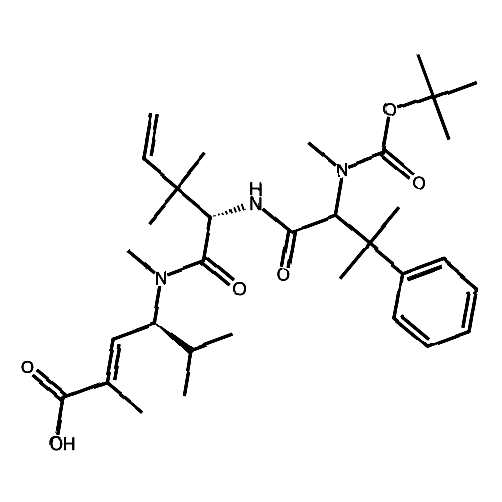 C=CC(C)(C)[C@H](NC(=O)C(N(C)C(=O)OC(C)(C)C)C(C)(C)c1ccccc1)C(=O)N(C)[C@H](/C=C(\C)C(=O)O)C(C)C